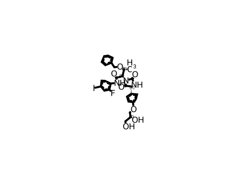 C[C@@H](OCc1ccccc1)[C@@H](C(=O)Nc1ccc(I)cc1F)N1C(=O)N[C@H](c2ccc(OC[C@H](O)CO)cc2)C1=O